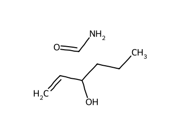 C=CC(O)CCC.NC=O